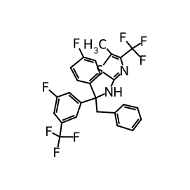 Cc1sc(NC(Cc2ccccc2)(c2ccc(F)cc2)c2cc(F)cc(C(F)(F)F)c2)nc1C(F)(F)F